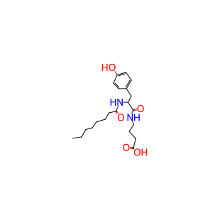 CCCCCCCC(=O)NC(Cc1ccc(O)cc1)C(=O)NCCCC(=O)O